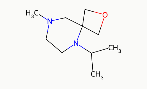 CC(C)N1CCN(C)CC12COC2